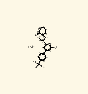 Cc1cc(-c2ccc(C(F)(F)F)cc2)cc([C@H]2CC[C@]3(CCCNC3=O)N2)n1.Cl